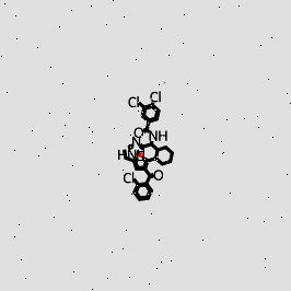 CCc1cc(C(=O)c2ccccc2Cl)c(C2CCCCC2C(NC(=O)c2ccc(Cl)c(Cl)c2)c2nc[nH]n2)s1